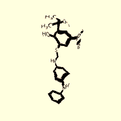 B#P(I)c1cc(SCNc2ccc(Nc3ccccc3)cc2)c(O)c(C(C)(C)C)c1